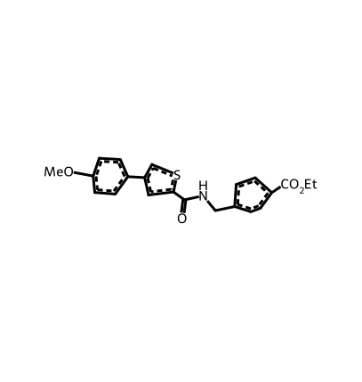 CCOC(=O)c1ccc(CNC(=O)c2cc(-c3ccc(OC)cc3)cs2)cc1